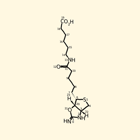 N=C1N[C@H]2CS[C@@H](CCCCC(=O)NCCCCCC(=O)O)[C@H]2O1